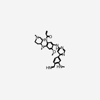 C=CC(=O)Nc1cc(Nc2cc(-c3ccc(C=N)c(NC)c3)ncn2)c(OC)cc1N(C)C1CCN(C)CC1